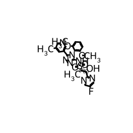 COc1cccc(OC)c1-n1c(NS(=O)(=O)[C@H](C)[C@@H](O)c2ncc(F)cn2)nnc1-c1cncc(C)c1